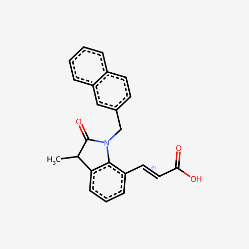 CC1C(=O)N(Cc2ccc3ccccc3c2)c2c(/C=C/C(=O)O)cccc21